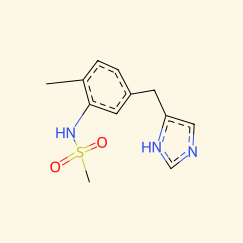 Cc1ccc(Cc2cnc[nH]2)cc1NS(C)(=O)=O